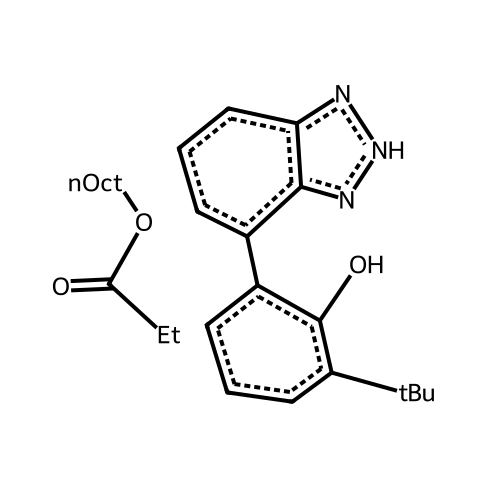 CC(C)(C)c1cccc(-c2cccc3n[nH]nc23)c1O.CCCCCCCCOC(=O)CC